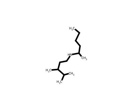 CCCCC(C)NCCC(C)C(C)C